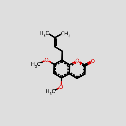 COc1cc(OC)c2ccc(=O)oc2c1CC=C(C)C